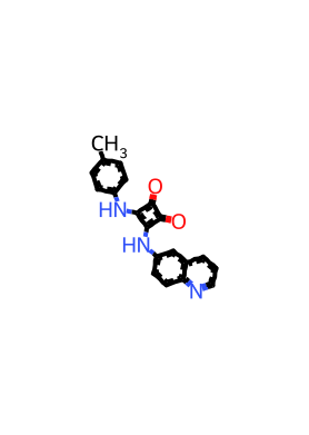 Cc1ccc(Nc2c(Nc3ccc4ncccc4c3)c(=O)c2=O)cc1